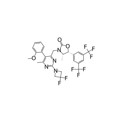 COc1ccccc1-c1c(C)nc(N2CC(F)(F)C2)nc1CN1C(=O)O[C@H](c2cc(C(F)(F)F)cc(C(F)(F)F)c2)[C@@H]1C